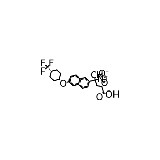 CC(CCC(=O)O)(c1ccc2cc(O[C@H]3CC[C@@H](C(F)(F)F)CC3)ccc2c1)[N+](=O)[O-]